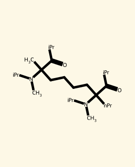 CCCC(CCCCC(C)(C(=O)C(C)C)N(C)C(C)C)(C(=O)C(C)C)N(C)C(C)C